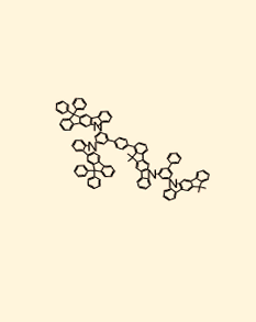 CC1(C)c2ccccc2-c2cc3c(cc21)c1ccccc1n3-c1cc(-c2ccccc2)cc(-n2c3ccccc3c3cc4c(cc32)-c2cccc(-c3ccc(-c5cc(-n6c7ccccc7c7cc8c(cc76)-c6ccccc6C8(c6ccccc6)c6ccccc6)cc(-n6c7ccccc7c7cc8c(cc76)-c6ccccc6C8(c6ccccc6)c6ccccc6)c5)cc3)c2C4(C)C)c1